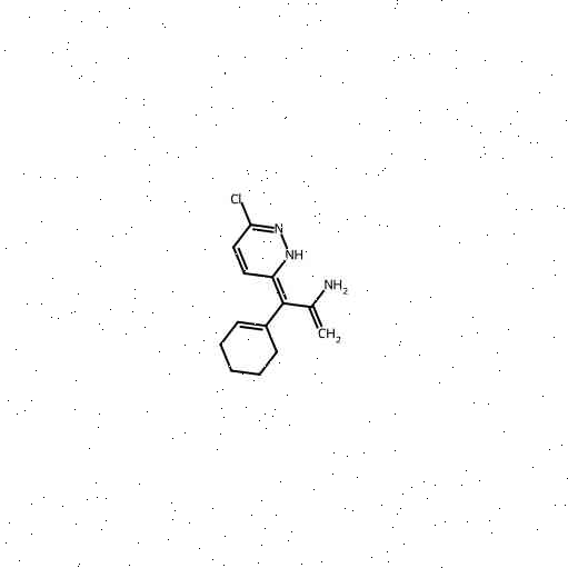 C=C(N)/C(C1=CCCCC1)=C1/C=CC(Cl)=NN1